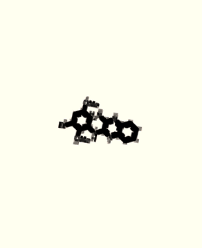 CCc1cc(OC)cc(Nc2nc3ccccc3nc2N)c1OC